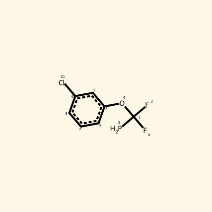 FC(F)(P)Oc1cccc(Cl)c1